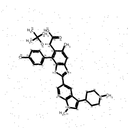 Cc1cc2nc(-c3cnc4c(c3)c(C3CCN(C)CC3)cn4C)sc2c(-c2ccc(Cl)cc2)c1[C@H](OC(C)(C)C)C(=O)O